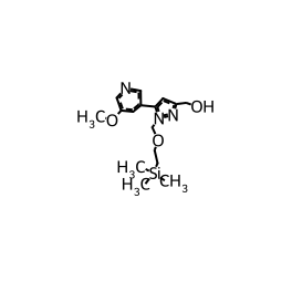 COc1cncc(-c2cc(CO)nn2COCC[Si](C)(C)C)c1